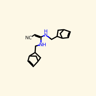 N#CC=C(NCC1CC2C=CC1C2)NCC1CC2C=CC1C2